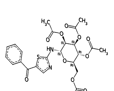 CC(=O)OC[C@H]1O[C@H](Nc2ncc(C(=O)c3ccccc3)s2)[C@@H](OC(C)=O)[C@@H](OC(C)=O)[C@@H]1OC(C)=O